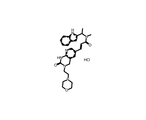 CC(c1cc2ccccc2[nH]1)N(C)C(=O)C=Cc1cnc2c(c1)CN(CCN1CCOCC1)C(=O)N2.Cl